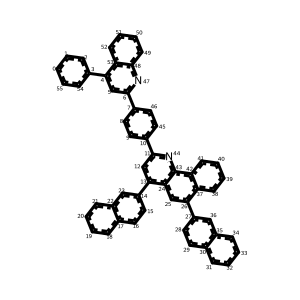 c1ccc(-c2cc(-c3ccc(-c4cc(-c5ccc6ccccc6c5)c5cc(-c6ccc7ccccc7c6)c6ccccc6c5n4)cc3)nc3ccccc23)cc1